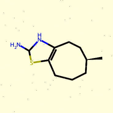 C[C@H]1CCCC2=C(CC1)NC(N)S2